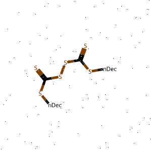 CCCCCCCCCCSC(=S)SSC(=S)SCCCCCCCCCC